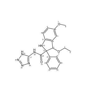 CCOC1c2cc(OC)ccc2NC1(C(=O)Nc1nnn[nH]1)c1ccccc1